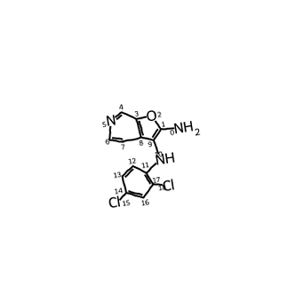 Nc1oc2cnccc2c1Nc1ccc(Cl)cc1Cl